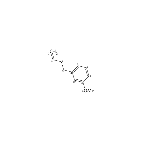 C=CCCc1cccc(OC)c1